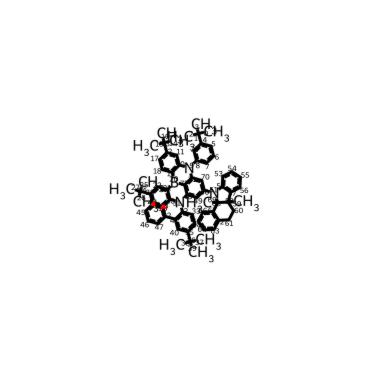 CC(C)(C)c1cccc(N2c3cc(C(C)(C)C)ccc3B3c4cc(C(C)(C)C)ccc4N(c4ccc(C(C)(C)C)cc4-c4ccccc4)c4cc(N5c6ccccc6C6(C)CCc7ccccc7C56C)cc2c43)c1